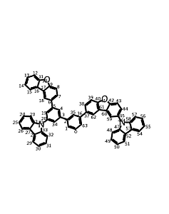 c1cc(-c2cc(-c3ccc4oc5ccccc5c4c3)cc(-n3c4ccccc4c4ccccc43)c2)cc(-c2ccc3oc4ccc(-n5c6ccccc6c6ccccc65)cc4c3c2)c1